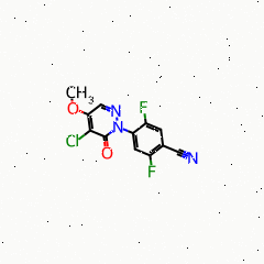 COc1cnn(-c2cc(F)c(C#N)cc2F)c(=O)c1Cl